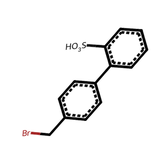 O=S(=O)(O)c1ccccc1-c1ccc(CBr)cc1